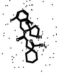 N#CC1(N(Cc2c(F)cccc2F)C(=O)[CH]CC2(C(N)=O)CCCCC2)CCNC1